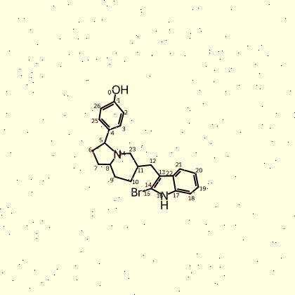 Oc1ccc(C2CCC3CCC(Cc4c(Br)[nH]c5ccccc45)CN32)cc1